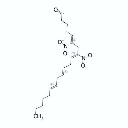 CCCCC/C=C/C/C=C/C/C=C(/C/C(=C/CCC[C]=O)[N+](=O)[O-])[N+](=O)[O-]